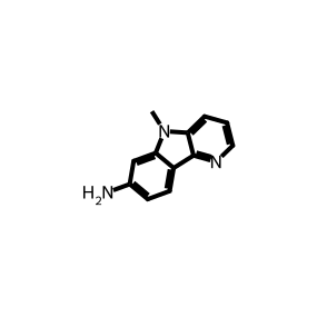 Cn1c2cc(N)ccc2c2ncccc21